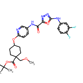 COCC1(C(=O)OC(C)(C)C)CCC(Oc2ccc(NC(=O)c3nnc(Nc4ccc(F)c(F)c4)o3)cn2)CC1